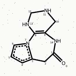 O=C1Cc2cccn2C2=C(CNCN2)N1